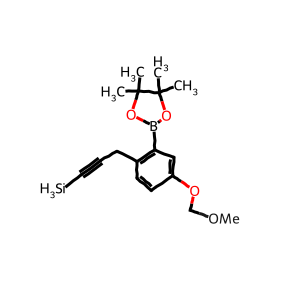 COCOc1ccc(CC#C[SiH3])c(B2OC(C)(C)C(C)(C)O2)c1